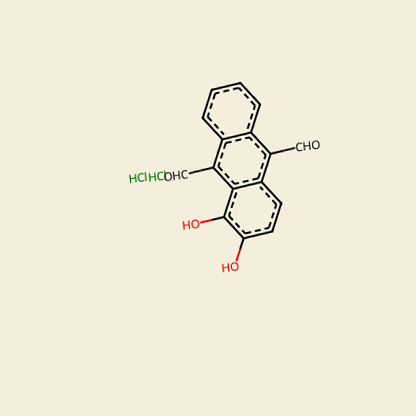 Cl.Cl.O=Cc1c2ccccc2c(C=O)c2c(O)c(O)ccc12